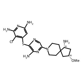 CO[C@H]1C[C@@H](N)C2(CCN(c3cnc(Sc4cc(N)nc(N)c4Cl)c(N)n3)CC2)C1